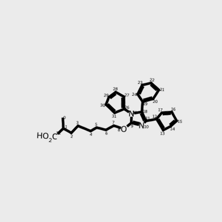 CC(CCCCCCOc1nc(-c2ccccc2)c(-c2ccccc2)n1-c1ccccc1)C(=O)O